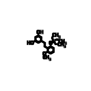 CC[Si](CC)(CC)Oc1cccc(OC)c1C=Cc1cc(O)cc(O)c1